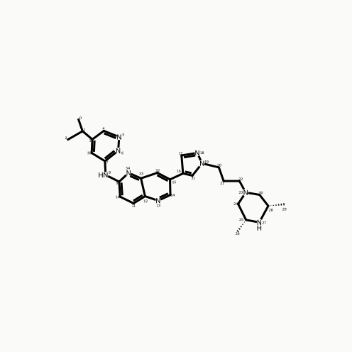 CC(C)c1cnnc(Nc2ccc3ncc(-c4cnn(CCCN5C[C@@H](C)N[C@@H](C)C5)c4)cc3n2)c1